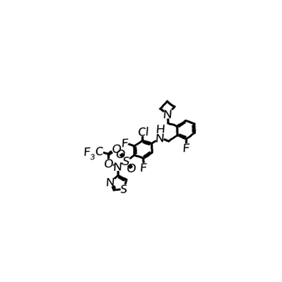 O=C(ON(c1cscn1)S(=O)(=O)c1c(F)cc(NCc2c(F)cccc2CN2CCC2)c(Cl)c1F)C(F)(F)F